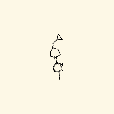 Ic1ccc(N2CCN(CC3CC3)CC2)nn1